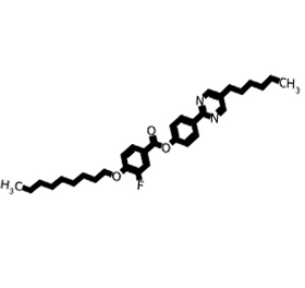 CCCCCCCCCOc1ccc(C(=O)Oc2ccc(-c3ncc(CCCCCC)cn3)cc2)cc1F